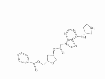 O=C(Cn1cnc2c(N[C@@H]3CCNC3)ncnc21)O[C@H]1CO[C@H](COC(=O)c2ccccc2)C1